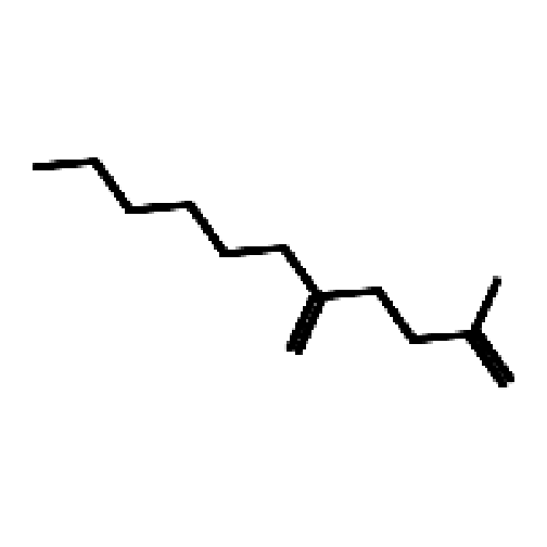 C=C(C)CCC(=C)CCCCCC